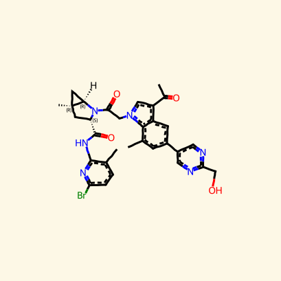 CC(=O)c1cn(CC(=O)N2[C@H](C(=O)Nc3nc(Br)ccc3C)C[C@@]3(C)C[C@@H]23)c2c(C)cc(-c3cnc(CO)nc3)cc12